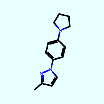 Cc1ccn(-c2ccc(N3CCCC3)cc2)n1